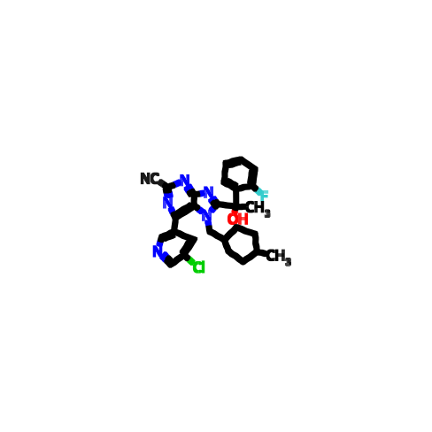 CC1CCC(Cn2c(C(C)(O)c3ccccc3F)nc3nc(C#N)nc(-c4cncc(Cl)c4)c32)CC1